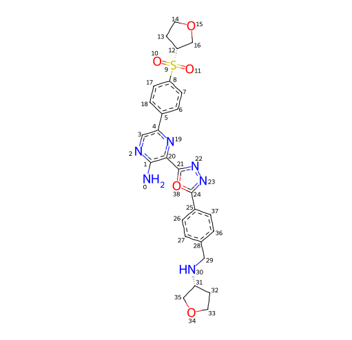 Nc1ncc(-c2ccc(S(=O)(=O)[C@@H]3CCOC3)cc2)nc1-c1nnc(-c2ccc(CN[C@@H]3CCOC3)cc2)o1